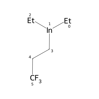 C[CH2][In]([CH2]C)[CH2]CC(F)(F)F